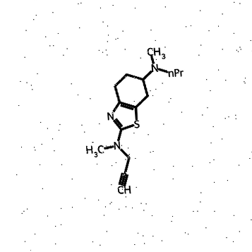 C#CCN(C)c1nc2c(s1)CC(N(C)CCC)CC2